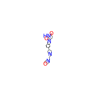 O=C1CCC(N2Cc3ccc(C4CCN(CCCN5CCOCC5)CC4)cc3C2)C(=O)N1